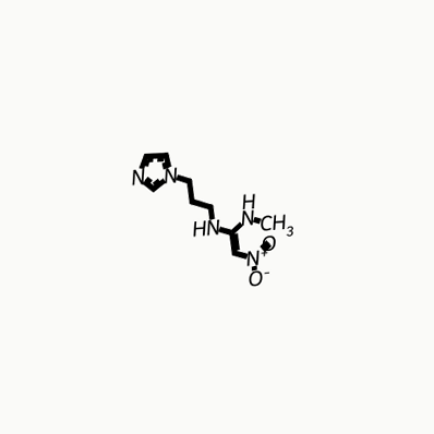 CN/C(=C\[N+](=O)[O-])NCCCn1ccnc1